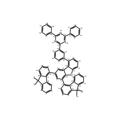 CC1(C)c2ccccc2-c2c(-c3cc(-c4cccc5c4-c4ccccc4C5(C)C)c4oc5cccc(-c6cccc(-c7nc(-c8ccccc8)nc(-c8ccccc8)n7)c6)c5c4c3)cccc21